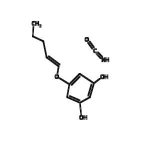 CCCC=COc1cc(O)cc(O)c1.N=C=O